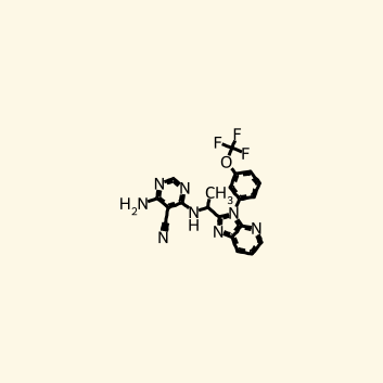 CC(Nc1ncnc(N)c1C#N)c1nc2cccnc2n1-c1cccc(OC(F)(F)F)c1